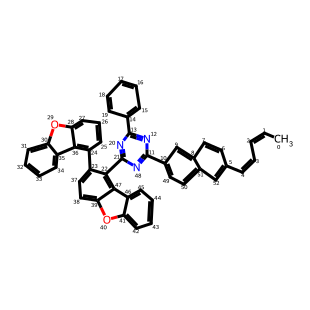 C/C=C\C=C/c1ccc2cc(-c3nc(-c4ccccc4)nc(-c4c(-c5cccc6oc7ccccc7c56)ccc5oc6ccccc6c45)n3)ccc2c1